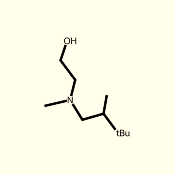 CC(CN(C)CCO)C(C)(C)C